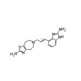 Nc1nc2c(/C=C/CN3CCc4nc(N)sc4CC3)cccc2[nH]1